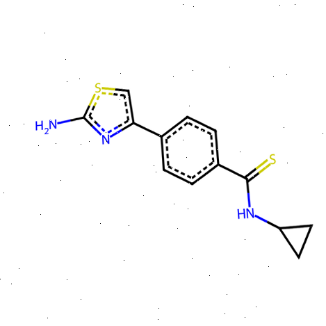 Nc1nc(-c2ccc(C(=S)NC3CC3)cc2)cs1